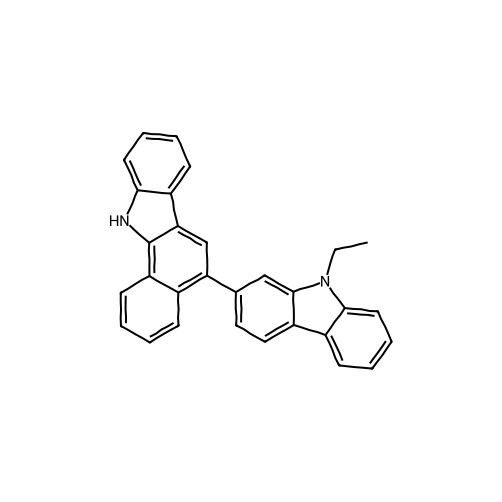 CCn1c2ccccc2c2ccc(-c3cc4c5ccccc5[nH]c4c4ccccc34)cc21